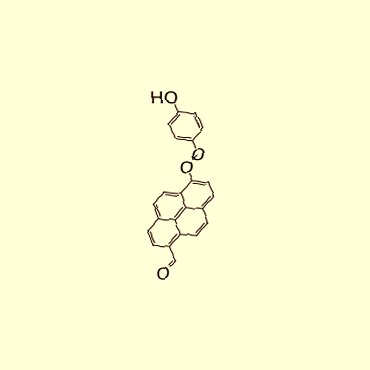 O=Cc1ccc2ccc3c(OOc4ccc(O)cc4)ccc4ccc1c2c43